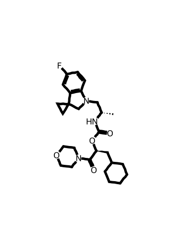 C[C@@H](CN1CC2(CC2)c2cc(F)ccc21)NC(=O)O[C@@H](CC1CCCCC1)C(=O)N1CCOCC1